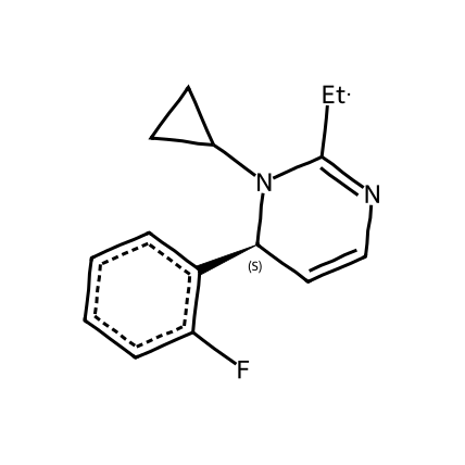 C[CH]C1=NC=C[C@@H](c2ccccc2F)N1C1CC1